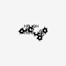 O=S(=O)(c1ccccc1)n1cc(CCO[C@H]2O[C@H](CO)[C@@H](O)[C@H](OCc3ccccc3)[C@H]2O)c2ccccc21